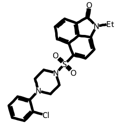 CCN1C(=O)c2cccc3c(S(=O)(=O)N4CCN(c5ccccc5Cl)CC4)ccc1c23